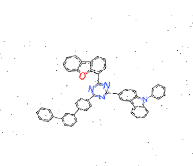 c1ccc(-c2cccc(-c3ccc(-c4nc(-c5ccc6c(c5)c5ccccc5n6-c5ccccc5)nc(-c5cccc6c5oc5ccccc56)n4)cc3)c2)cc1